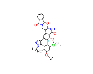 Cn1ncc(-c2cc(OCC(F)(F)F)c3c(=O)[nH]nc(CN4C(=O)c5ccccc5C4=O)c3c2)c1-c1c(F)c(Cl)cc(OC2CC2)c1C#N